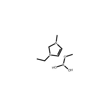 CCN1C=CN(C)C1.COB(O)O